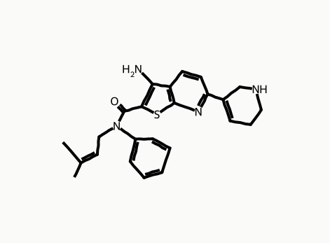 CC(C)=CCN(C(=O)c1sc2nc(C3=CCCNC3)ccc2c1N)c1ccccc1